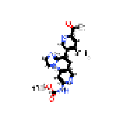 CCC(=O)c1cc(C)c(C2=Cc3cnc(NC(=O)OC(C)(C)C)cc3N3CCN=C23)cn1